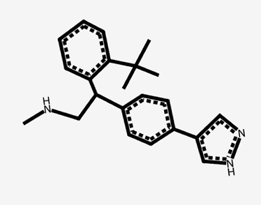 CNCC(c1ccc(-c2cn[nH]c2)cc1)c1ccccc1C(C)(C)C